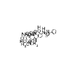 CN(C)[C@@H]1C(O)=C(C(N)=O)C(=O)[C@@]2(O)C(O)=C3C(=O)c4c(ccc(Nc5nc(-c6ccccc6)cs5)c4O)C[C@H]3C[C@@H]12